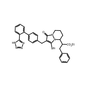 CCCc1c(Cc2ccc(-c3ccccc3-c3nnn[nH]3)cc2)c(=O)n2n1C(C(Cc1ccccc1)C(=O)OCC)CCC2